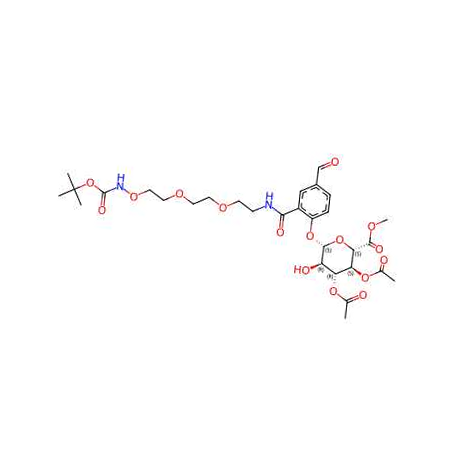 COC(=O)[C@H]1O[C@@H](Oc2ccc(C=O)cc2C(=O)NCCOCCOCCONC(=O)OC(C)(C)C)[C@H](O)[C@@H](OC(C)=O)[C@@H]1OC(C)=O